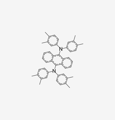 Cc1ccc(N(c2ccc(C)c(C)c2)c2c3ccccc3c(N(c3ccc(C)c(C)c3)c3ccc(C)c(C)c3)c3ccccc23)cc1C